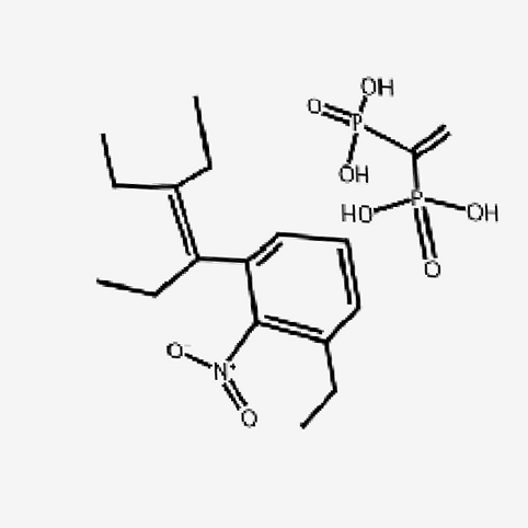 C=C(P(=O)(O)O)P(=O)(O)O.CCC(CC)=C(CC)c1cccc(CC)c1[N+](=O)[O-]